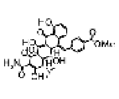 COC(=O)c1ccc(/C=C2\c3cccc(O)c3C(=O)C3=C(O)[C@]4(O)C(=O)C(C(N)=O)=C(O)[C@@H](N(C)C)[C@@H]4[C@@H](O)[C@@H]32)cc1